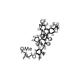 COCCN(C)CCOc1ccc(CN2C(=O)C(C(=O)Nc3ccc(C(C)(F)F)cc3-c3cc(C(F)(F)F)ncn3)=C(O)C3(CCCC3)N2C)c(F)c1F